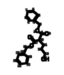 O=C(OCc1ccccc1)C(CCCO)C(=O)OCc1ccccc1